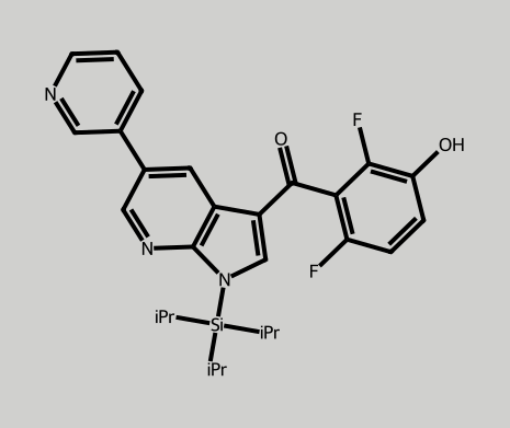 CC(C)[Si](C(C)C)(C(C)C)n1cc(C(=O)c2c(F)ccc(O)c2F)c2cc(-c3cccnc3)cnc21